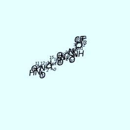 Cc1cc(N2C(=O)NC(=O)C2(C)C)cc(C)c1CCS(=O)(=O)N1CCC2(CC1)N=C(c1ccc(F)c(C(F)(F)F)c1)NC2=O